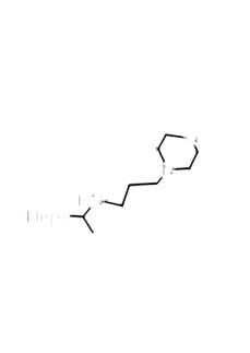 CCCCCCCC(C)NCCCN1CCOCC1